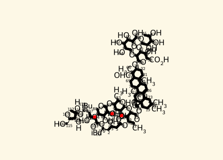 CC[C@H](C)[C@H](C[C@H](O)CC(=O)O[C@@H]1C(C)O[C@@H](OC(=O)[C@]23CCC(C)(C)CC2C2=CCC4[C@@]5(C)CC[C@H](O[C@@H]6OC(C(=O)O)[C@H](O)C(O[C@@H]7OC[C@@H](O)C(O)C7O)C6O[C@@H]6OC(CO)[C@H](O)C(O)C6O)[C@@](C)(C=O)C5CC[C@@]4(C)[C@]2(C)C[C@H]3O)C(O[C@@H]2OC(C)[C@H](O[C@H]3OCC(O)[C@H](O)C3O)C(O)[C@@H]2O)C1O)OC(=O)C[C@@H](O)C[C@H](OC1(O)CO[C@@H](CO)C1O)[C@@H](C)CC